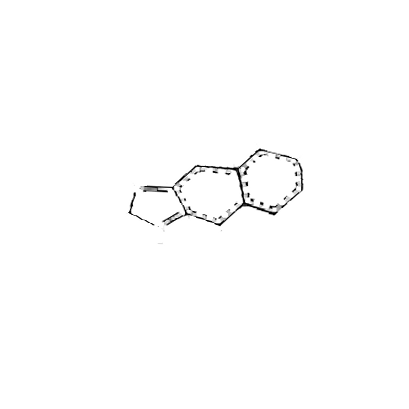 c1ccc2cc3c(cc2c1)=NCN=3